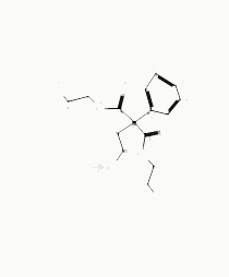 CCCOC(=O)C(CCC)(C(=O)OCCC)c1ccccc1